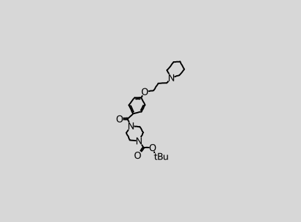 CC(C)(C)OC(=O)N1CCN(C(=O)c2ccc(OCCCN3CCCCC3)cc2)CC1